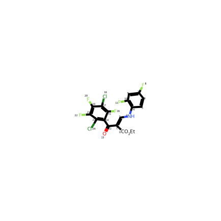 CCOC(=O)/C(=C\Nc1ccc(F)cc1F)C(=O)c1c(F)c(Cl)c(F)c(F)c1Cl